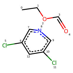 CCOC=O.Clc1cncc(Cl)c1